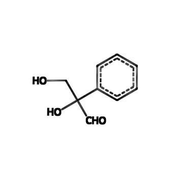 O=CC(O)(CO)c1ccccc1